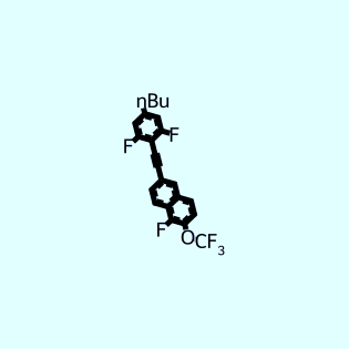 CCCCc1cc(F)c(C#Cc2ccc3c(F)c(OC(F)(F)F)ccc3c2)c(F)c1